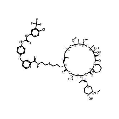 CO[C@H]1C[C@@H](C)C/C(C)=C/[C@@H](CCCSCCNC(=O)c2cc(Oc3ccc(NC(=O)Nc4ccc(Cl)c(C(F)(F)F)c4)cc3)ccn2)C(=O)C[C@H](O)[C@@H](C)[C@@H](/C(C)=C/[C@@H]2CC[C@@H](O)[C@H](OC)C2)OC(=O)[C@@H]2CCCCN2C(=O)C(=O)C(O)(O)[C@H](C)C[C@H](OC)[C@@H]1C